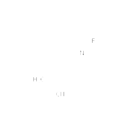 CC1(C)CCN(F)c2ccccc21